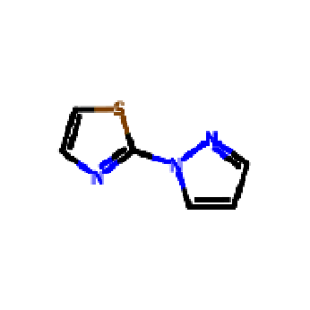 c1cnn(-c2nccs2)c1